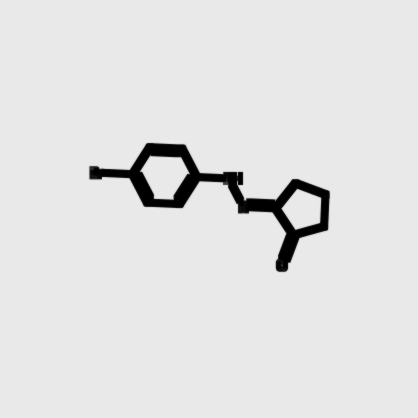 O=C1CCC/C1=N\Nc1ccc(Br)cc1